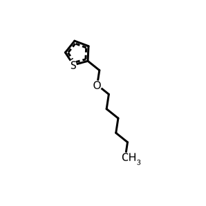 CCCCCCOCc1cccs1